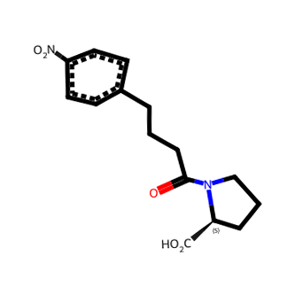 O=C(O)[C@@H]1CCCN1C(=O)CCCc1ccc([N+](=O)[O-])cc1